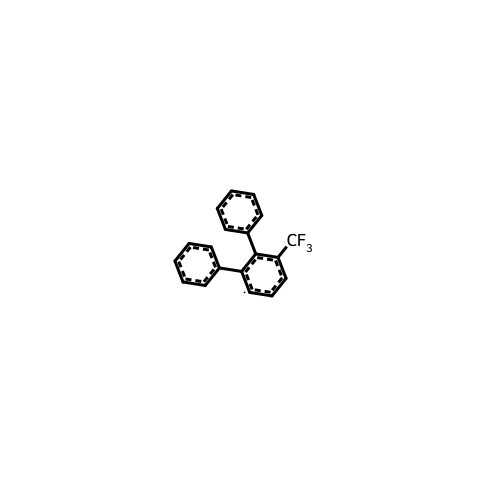 FC(F)(F)c1cc[c]c(-c2ccccc2)c1-c1ccccc1